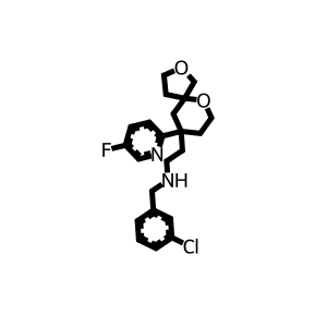 Fc1ccc(C2(CCNCc3cccc(Cl)c3)CCOC3(CCOC3)C2)nc1